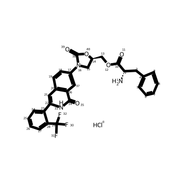 Cl.N[C@@H](Cc1ccccc1)C(=O)OC[C@H]1CN(c2ccc3cc(-c4ccccc4C(F)(F)F)[nH]c(=O)c3c2)C(=O)O1